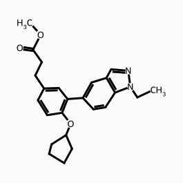 CCn1ncc2cc(-c3cc(CCC(=O)OC)ccc3OC3CCCC3)ccc21